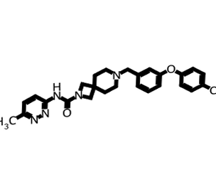 Cc1ccc(NC(=O)N2CC3(CCN(Cc4cccc(Oc5ccc(Cl)cc5)c4)CC3)C2)nn1